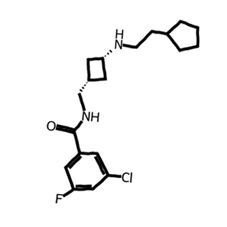 O=C(NC[C@H]1C[C@@H](NCCC2CCCC2)C1)c1cc(F)cc(Cl)c1